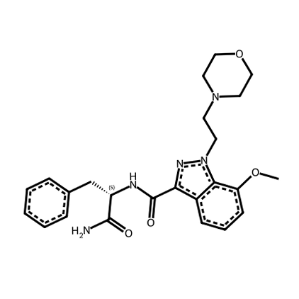 COc1cccc2c(C(=O)N[C@@H](Cc3ccccc3)C(N)=O)nn(CCN3CCOCC3)c12